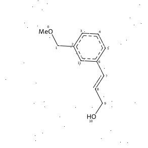 COCc1cccc(C=CCO)c1